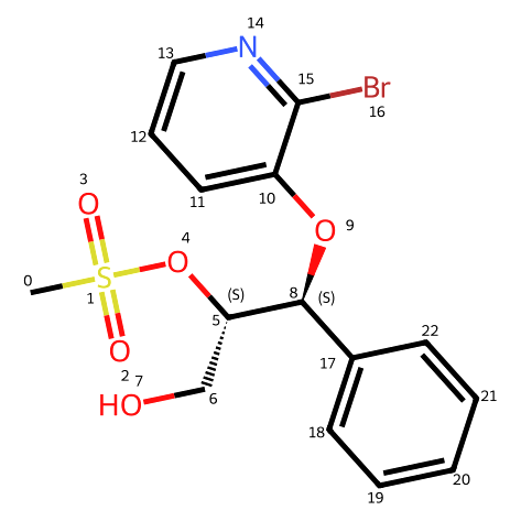 CS(=O)(=O)O[C@@H](CO)[C@@H](Oc1cccnc1Br)c1ccccc1